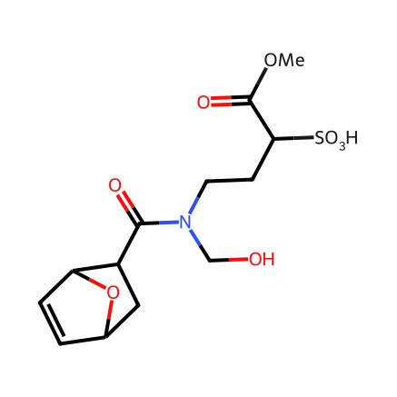 COC(=O)C(CCN(CO)C(=O)C1CC2C=CC1O2)S(=O)(=O)O